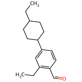 CCc1cc(C2CCC(CC)CC2)ccc1C=O